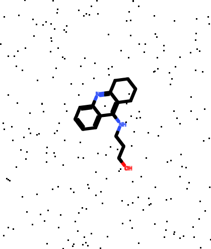 OCCCNc1c2c(nc3ccccc13)CCCC2